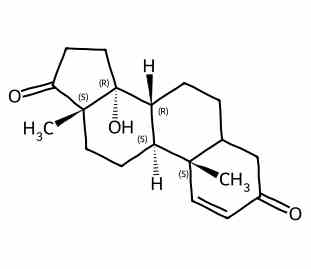 C[C@]12C=CC(=O)CC1CC[C@@H]1[C@@H]2CC[C@]2(C)C(=O)CC[C@@]12O